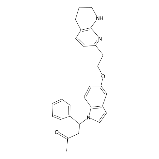 CC(=O)CC(c1ccccc1)n1ccc2cc(OCCc3ccc4c(n3)NCCC4)ccc21